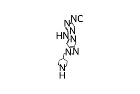 [C-]#[N+]c1cnc(Nc2cc3c(cn2)ncn3CC2CCNCC2)cn1